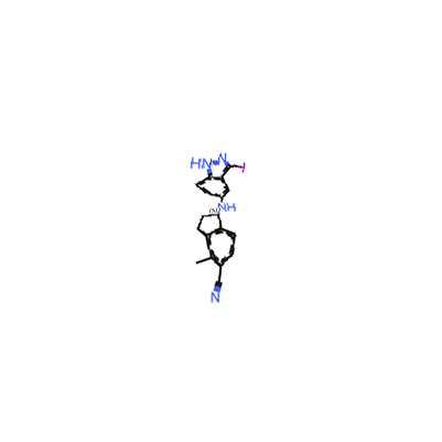 Cc1c(C#N)ccc2c1CC[C@@H]2Nc1ccc2[nH]nc(I)c2c1